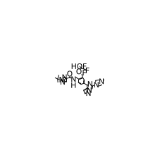 Cc1cc(-c2nc(N3CCN(C)CC3)cn3nccc23)ccc1CNC(=O)c1cnn(C(C)(C)C)n1.O=C(O)C(F)(F)F